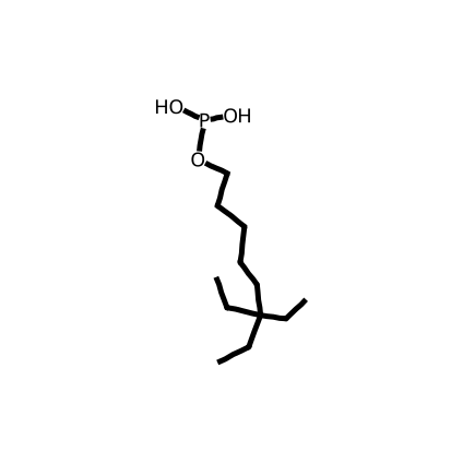 CCC(CC)(CC)CCCCCOP(O)O